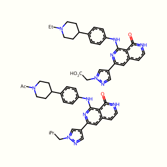 CC(=O)N1CCC(c2ccc(Nc3nc(-c4cnn(CC(C)C)c4)cc4cc[nH]c(=O)c34)cc2)CC1.CCN1CCC(c2ccc(Nc3nc(-c4cnn(CC(=O)O)c4)cc4cc[nH]c(=O)c34)cc2)CC1